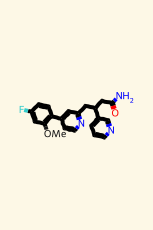 COc1cc(F)ccc1-c1ccnc(CC(CC(N)=O)c2cccnc2)c1